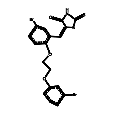 O=C1NC(=S)SC1=Cc1cc(Br)ccc1OCCOc1cccc(Br)c1